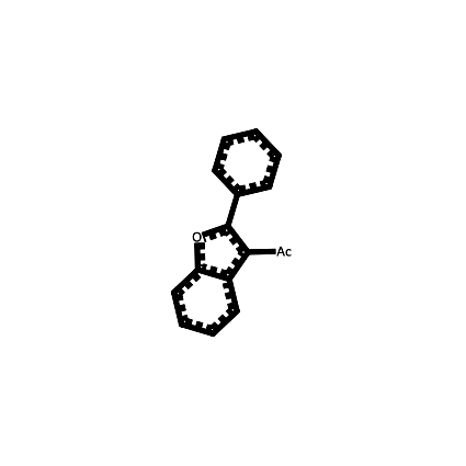 CC(=O)c1c(-c2ccccc2)oc2ccccc12